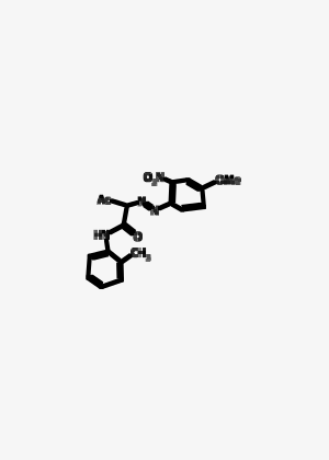 COc1ccc(N=NC(C(C)=O)C(=O)Nc2ccccc2C)c([N+](=O)[O-])c1